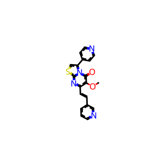 COc1c(/C=C/c2cccnc2)nc2scc(-c3ccncc3)n2c1=O